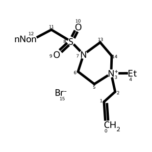 C=CC[N+]1(CC)CCN(S(=O)(=O)CCCCCCCCCC)CC1.[Br-]